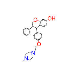 CN1CCN(CCOc2ccc(C3c4ccc(O)cc4OCC3c3ccccc3)cc2)CC1